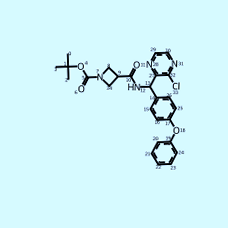 CC(C)(C)OC(=O)N1CC(C(=O)NC(c2ccc(Oc3ccccc3)cc2)c2nccnc2Cl)C1